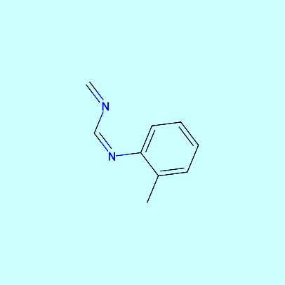 C=N/C=N\c1ccccc1C